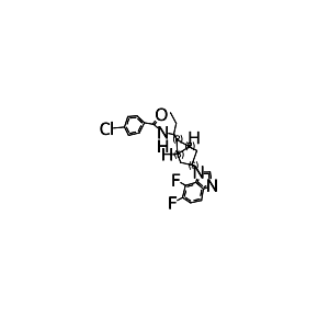 CCC(NC(=O)c1ccc(Cl)cc1)[C@H]1[C@@H]2C[C@@H](n3cnc4ccc(F)c(F)c43)C[C@@H]21